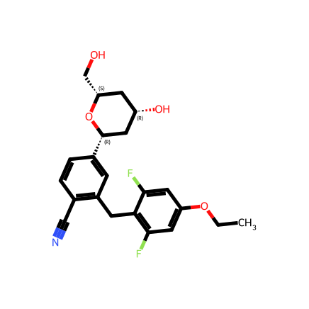 CCOc1cc(F)c(Cc2cc([C@H]3C[C@@H](O)C[C@@H](CO)O3)ccc2C#N)c(F)c1